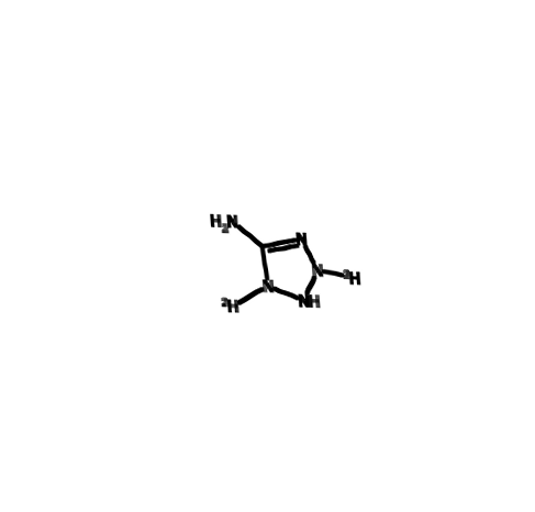 [2H]N1N=C(N)N([2H])N1